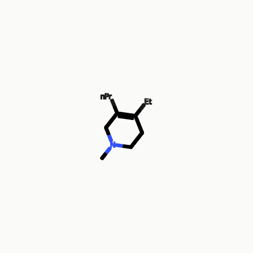 CCCC1=C(CC)CCN(C)C1